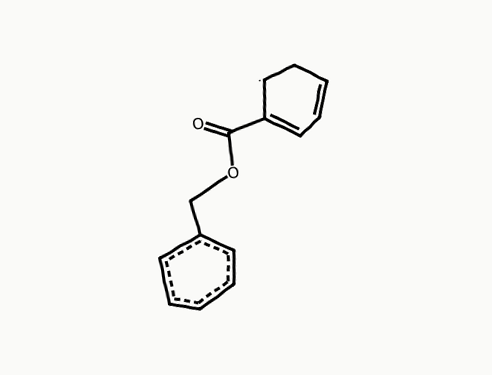 O=C(OCc1ccccc1)C1=CC=CC[CH]1